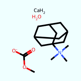 COC(=O)[O-].C[N+](C)(C)C12CC3CC(CC(C3)C1)C2.O.[CaH2]